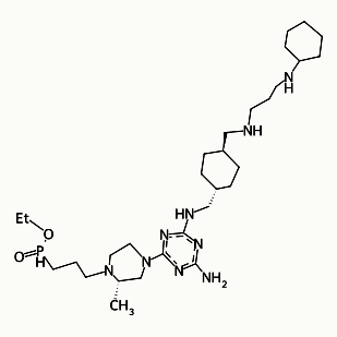 CCO[PH](=O)CCCN1CCN(c2nc(N)nc(NC[C@H]3CC[C@H](CNCCCNC4CCCCC4)CC3)n2)C[C@@H]1C